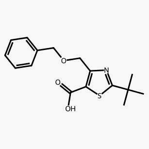 CC(C)(C)c1nc(COCc2ccccc2)c(C(=O)O)s1